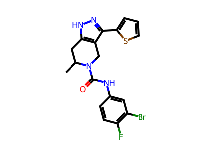 CC1Cc2[nH]nc(-c3cccs3)c2CN1C(=O)Nc1ccc(F)c(Br)c1